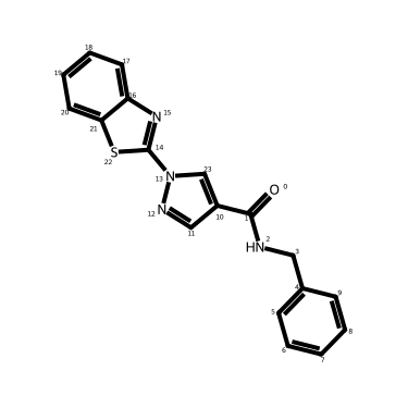 O=C(NCc1ccccc1)c1cnn(-c2nc3ccccc3s2)c1